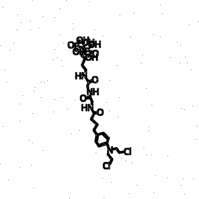 O=C(CCCc1ccc(N(CCCl)CCCl)cc1)NCC(=O)NCC(=O)NCCCCC(O)(P(=O)(O)O)P(=O)(O)O